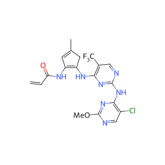 C=CC(=O)NC1=C(Nc2nc(Nc3nc(OC)ncc3Cl)ncc2C(F)(F)F)CC(C)=C1